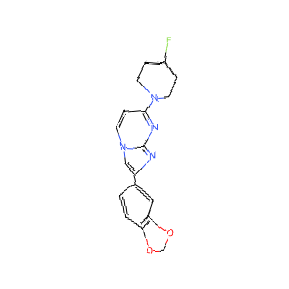 FC1CCN(c2ccn3cc(-c4ccc5c(c4)OCO5)nc3n2)CC1